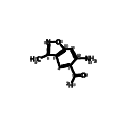 [2H]C(=O)c1cc2c(C)noc2cc1N